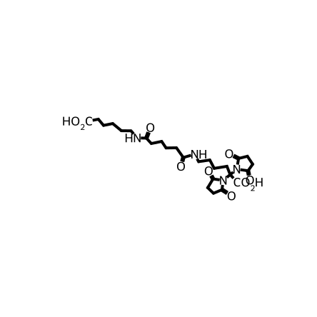 O=C(O)CCCCCNC(=O)CCCCC(=O)NCCCCC(C(=O)O)(N1C(=O)CCC1=O)N1C(=O)CCC1=O